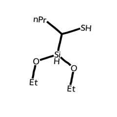 CCCC(S)[SiH](OCC)OCC